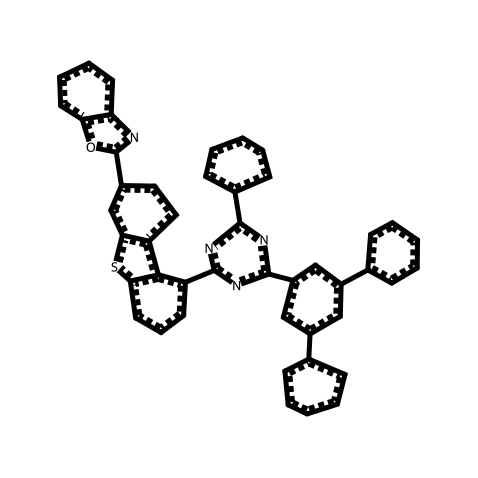 c1ccc(-c2cc(-c3ccccc3)cc(-c3nc(-c4ccccc4)nc(-c4cccc5sc6cc(-c7nc8ccccc8o7)ccc6c45)n3)c2)cc1